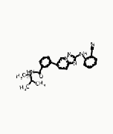 CC(C)[C@@H](C)NC(=O)c1cccc(-c2ccc3nc(Nc4ccccc4C#N)nn3c2)c1